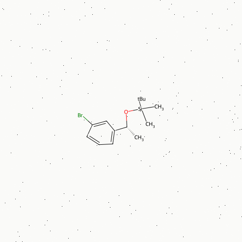 C[C@@H](O[Si](C)(C)C(C)(C)C)c1cccc(Br)c1